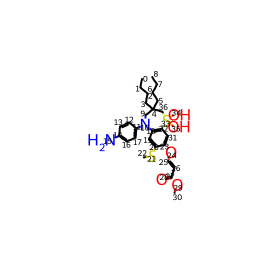 CCCCC1(CCCC)CN(c2ccc(N)cc2)c2cc(SC)c(O/C=C/C(=O)OC)cc2S(O)(O)C1